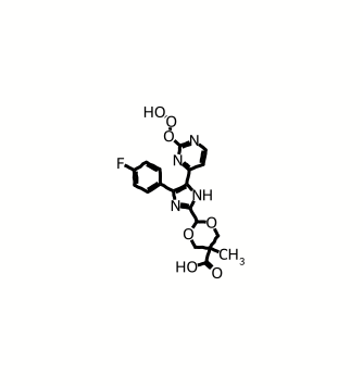 CC1(C(=O)O)COC(c2nc(-c3ccc(F)cc3)c(-c3ccnc(OOO)n3)[nH]2)OC1